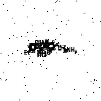 CCc1ccc(OC)c(S(=O)(=O)Nc2noc3cc(COCCN)cc(OC)c23)c1.Cl